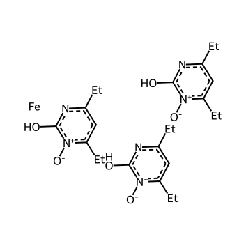 CCc1cc(CC)[n+]([O-])c(O)n1.CCc1cc(CC)[n+]([O-])c(O)n1.CCc1cc(CC)[n+]([O-])c(O)n1.[Fe]